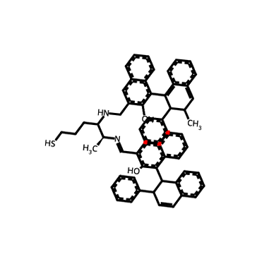 CC1C=c2ccccc2=C(c2c(O)c(CNC(CCCS)[C@H](C)/N=C/c3cc4ccccc4c(C4c5ccccc5C=CC4c4ccccc4)c3O)cc3ccccc23)C1c1ccccc1